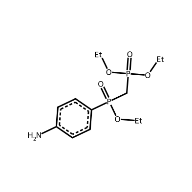 CCOP(=O)(CP(=O)(OCC)c1ccc(N)cc1)OCC